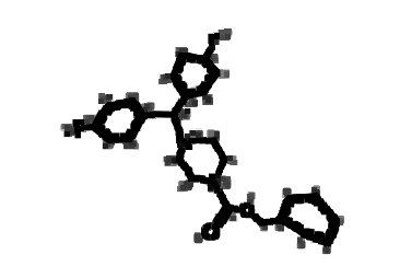 O=C(OCc1ccccc1)N1CCN(C(c2ccc(F)cc2)c2ccc(F)cc2)CC1